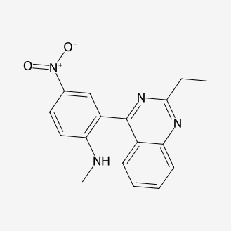 CCc1nc(-c2cc([N+](=O)[O-])ccc2NC)c2ccccc2n1